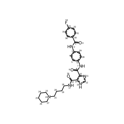 O=C(Nc1ccc(NC(=O)c2nc[nH]c2C(=O)NCCCCN2CCCCC2)cc1)c1ccc(F)cc1